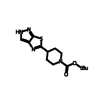 CC(C)(C)OC(=O)N1CCC(c2nc3c[nH]nc3s2)CC1